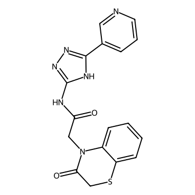 O=C(CN1C(=O)CSc2ccccc21)Nc1nnc(-c2cccnc2)[nH]1